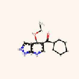 CCOc1c(C(=O)C2CCCCC2)cnc2[nH]ncc12